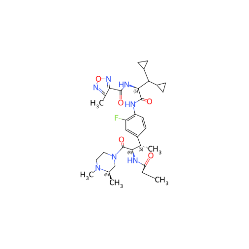 CCC(=O)N[C@@H](C(=O)N1CCN(C)[C@H](C)C1)[C@@H](C)c1ccc(NC(=O)[C@@H](NC(=O)c2nonc2C)C(C2CC2)C2CC2)c(F)c1